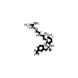 Cc1ccc(NS(=O)(=O)Cc2cccc(C(F)(F)F)c2)c(=O)n1CC(=O)NCCONC(=N)N